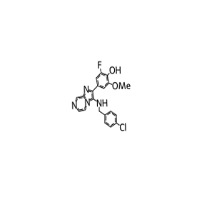 COc1cc(-c2nc3cnccn3c2NCc2ccc(Cl)cc2)cc(F)c1O